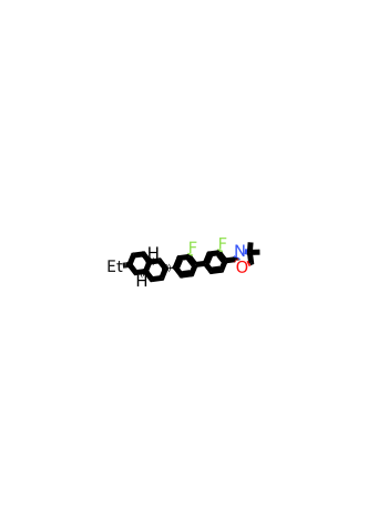 CCC1CC[C@@H]2C[C@H](c3ccc(-c4ccc(C5=NC(C)(C)CO5)c(F)c4)c(F)c3)CC[C@@H]2C1